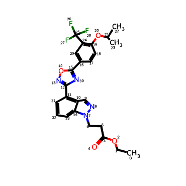 CCOC(=O)CCn1ncc2c(-c3noc(-c4ccc(OC(C)C)c(C(F)(F)F)c4)n3)cccc21